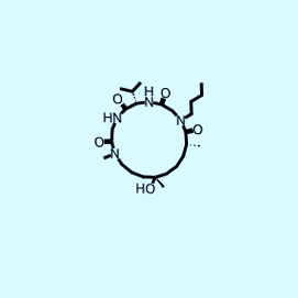 CCCCN1CC(=O)N[C@@H](C(C)C)C(=O)NCC(=O)N(C)CCC[C@@](C)(O)CCC[C@@H](C)C1=O